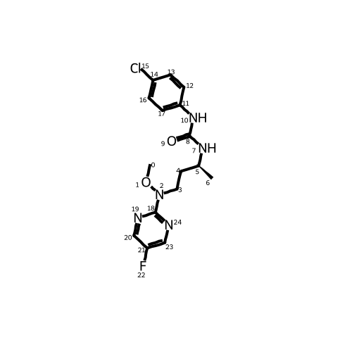 CON(CC[C@H](C)NC(=O)Nc1ccc(Cl)cc1)c1ncc(F)cn1